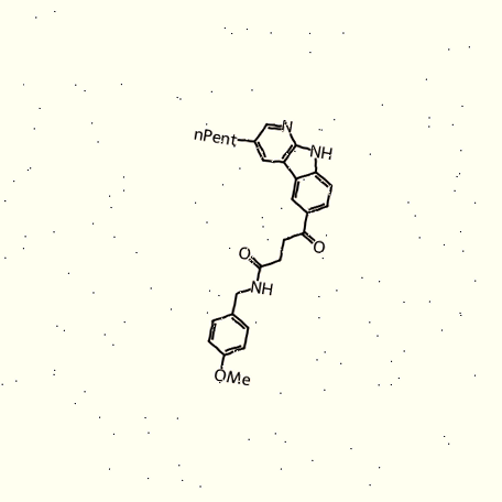 CCCCCc1cnc2[nH]c3ccc(C(=O)CCC(=O)NCc4ccc(OC)cc4)cc3c2c1